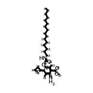 CCCCCCCCCCCCCCCCNC(=O)ON1C(C)=C(C(=O)OC)C(N)=C(C)C1C1CCS1